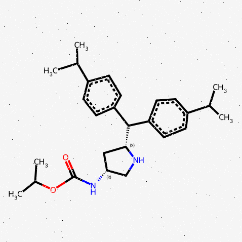 CC(C)OC(=O)N[C@H]1CN[C@@H](C(c2ccc(C(C)C)cc2)c2ccc(C(C)C)cc2)C1